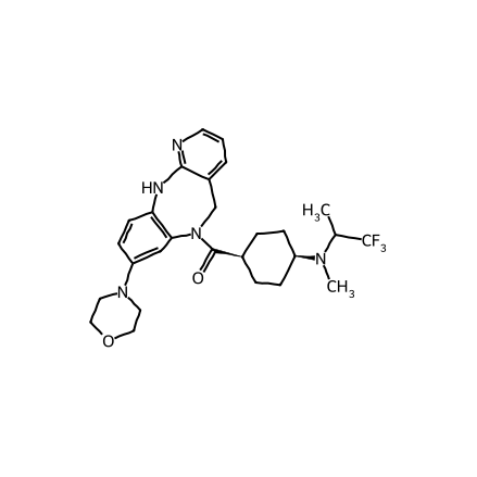 CC(N(C)[C@H]1CC[C@@H](C(=O)N2Cc3cccnc3Nc3ccc(N4CCOCC4)cc32)CC1)C(F)(F)F